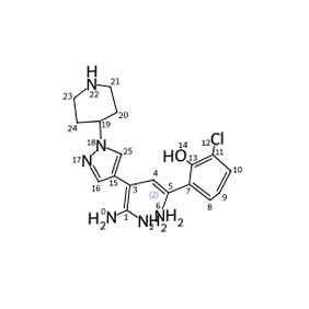 NC(N)=C(/C=C(\N)c1cccc(Cl)c1O)c1cnn(C2CCNCC2)c1